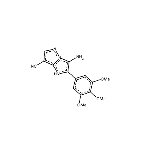 COc1cc(-c2[nH]c3c(C#N)cnn3c2N)cc(OC)c1OC